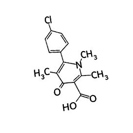 Cc1c(-c2ccc(Cl)cc2)n(C)c(C)c(C(=O)O)c1=O